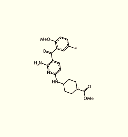 COC(=O)N1CCC(Nc2ccc(C(=O)c3cc(F)ccc3OC)c(N)n2)CC1